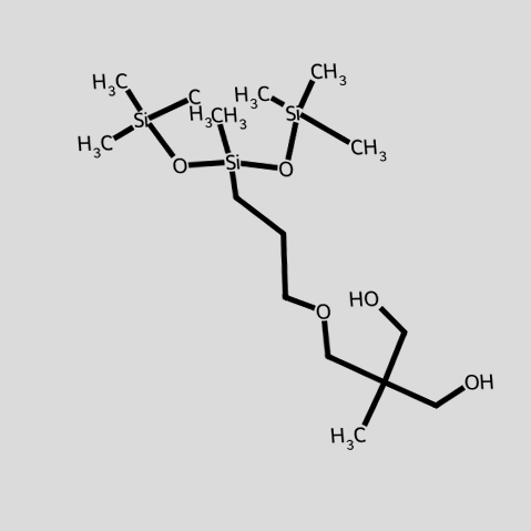 CC(CO)(CO)COCCC[Si](C)(O[Si](C)(C)C)O[Si](C)(C)C